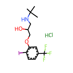 CC(C)(C)NCC(O)COc1cc(C(F)(F)F)ccc1I.Cl